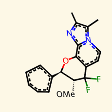 CO[C@@H]1[C@@H](c2ccccc2)Oc2c(ccn3c(C)c(C)nc23)C1(F)F